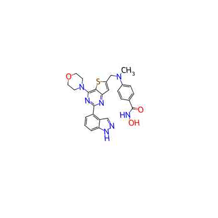 CN(Cc1cc2nc(-c3cccc4[nH]ncc34)nc(N3CCOCC3)c2s1)c1ccc(C(=O)NO)cc1